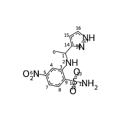 CC(Nc1cc([N+](=O)[O-])ccc1S(N)(=O)=O)c1cc[nH]n1